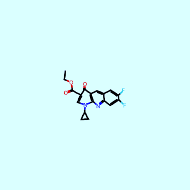 CCOC(=O)c1cn(C2CC2)c2nc3cc(F)c(F)cc3cc2c1=O